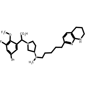 CC(C)c1cc(F)c(OC(F)(F)F)c(C(C(=O)O)N2CC[C@@H](N(C)CCCCCc3ccc4c(n3)NCCC4)C2)c1